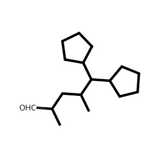 CC(C=O)CC(C)C(C1CCCC1)C1CCCC1